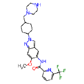 COc1cc2nn(C3CCC(CN4CCNCC4)CC3)cc2cc1NC(=O)c1cccc(C(F)(F)F)n1